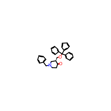 O=C1CCN(Cc2ccccc2)C[C@H]1COC(c1ccccc1)(c1ccccc1)c1ccccc1